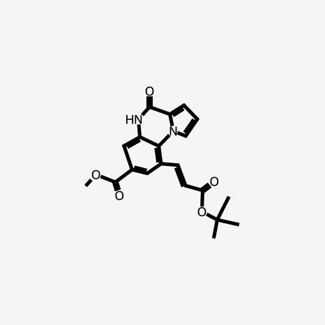 COC(=O)c1cc(C=CC(=O)OC(C)(C)C)c2c(c1)[nH]c(=O)c1cccn12